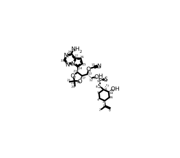 C=C(C)[C@H]1CC[C@@](C)(S[PH](=S)OC[C@@H](OC#N)[C@H]2OC(C)(C)O[C@H]2c2ccc3c(N)ncnn23)[C@H](O)C1